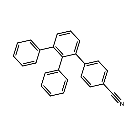 N#Cc1ccc(-c2cccc(-c3ccccc3)c2-c2ccccc2)cc1